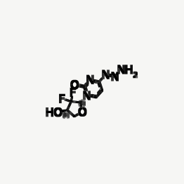 NN=Nc1ccn([C@@H]2OC[C@@H](O)C2(F)F)c(=O)n1